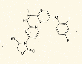 CC(C)C1COC(=O)N1c1ccnc(N[C@H](C)c2ncc(Oc3ccc(F)cc3F)cn2)n1